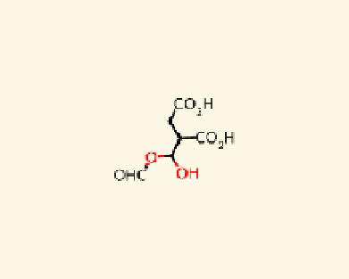 O=COC(O)C(CC(=O)O)C(=O)O